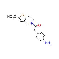 Nc1ccc(CC(=O)N2CCc3sc(C(=O)O)cc3C2)cc1